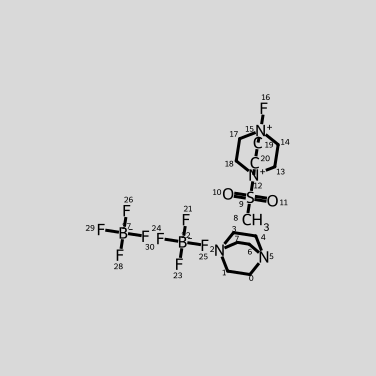 C1CN2CCN1CC2.CS(=O)(=O)[N+]12CC[N+](F)(CC1)CC2.F[B-](F)(F)F.F[B-](F)(F)F